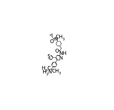 CN(C(=O)C1CC1)[C@H]1CC[C@H](CC(=O)Nc2cc(-c3ccsc3)c(-c3ccc(C(C)(C)N)cc3)cn2)CC1